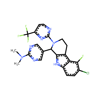 CN(C)c1ncc(C2c3[nH]c4ccc(Cl)c(F)c4c3CCN2c2nccc(C(F)(F)F)n2)cn1